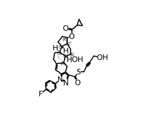 C[C@]12C[C@H](O)[C@H]3[C@@H](CCC4=Cc5c(c(C(=O)SCC#CCO)nn5-c5ccc(F)cc5)C[C@@]43C)[C@@H]1CC[C@H]2OC(=O)C1CC1